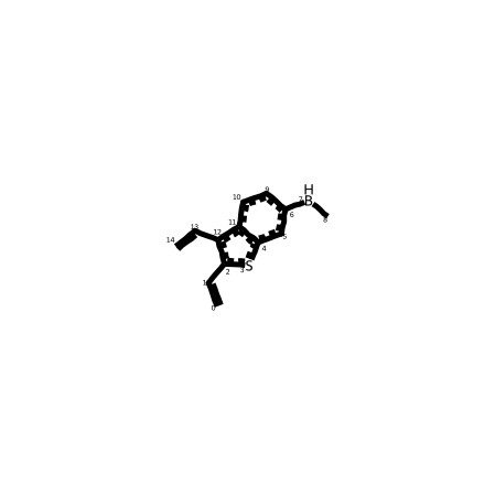 C=Cc1sc2cc(BC)ccc2c1C=C